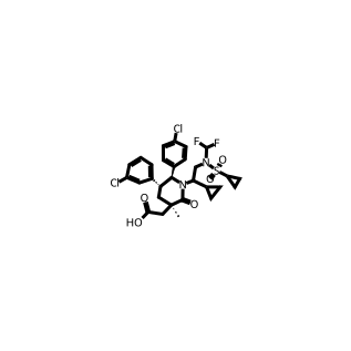 C[C@]1(CC(=O)O)C[C@H](c2cccc(Cl)c2)[C@@H](c2ccc(Cl)cc2)N(C(CN(C(F)F)S(=O)(=O)C2CC2)C2CC2)C1=O